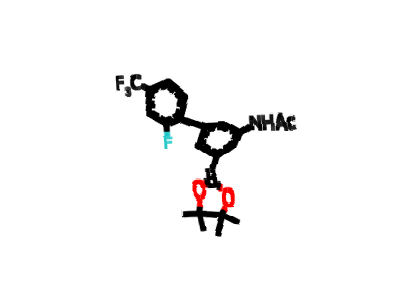 CC(=O)Nc1cc(B2OC(C)(C)C(C)(C)O2)cc(-c2ccc(C(F)(F)F)cc2F)c1